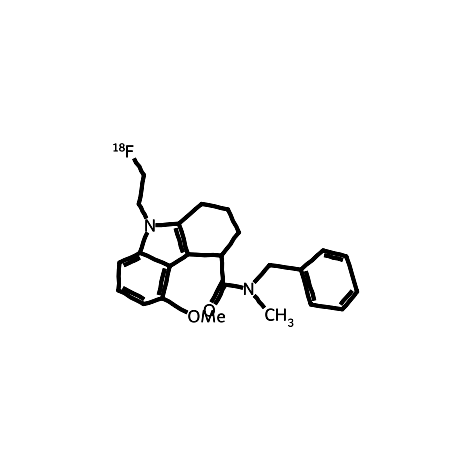 COc1cccc2c1c1c(n2CC[18F])CCCC1C(=O)N(C)Cc1ccccc1